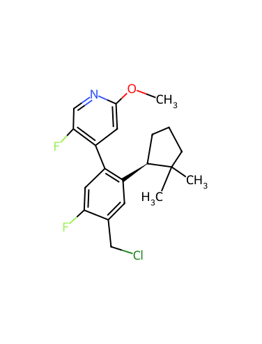 COc1cc(-c2cc(F)c(CCl)cc2[C@H]2CCCC2(C)C)c(F)cn1